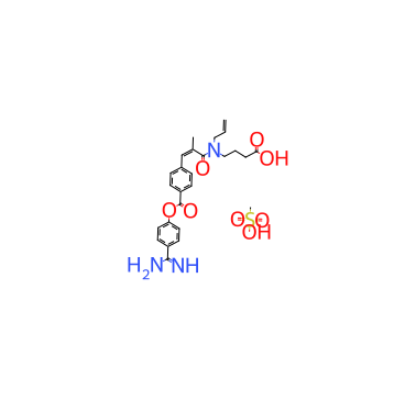 C=CCN(CCCC(=O)O)C(=O)C(C)=Cc1ccc(C(=O)Oc2ccc(C(=N)N)cc2)cc1.CS(=O)(=O)O